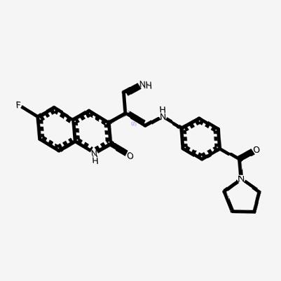 N=C/C(=C\Nc1ccc(C(=O)N2CCCC2)cc1)c1cc2cc(F)ccc2[nH]c1=O